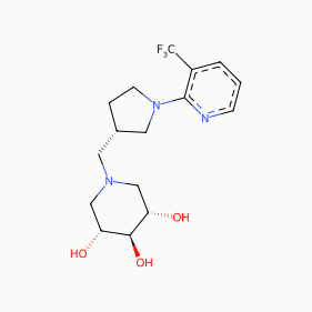 O[C@H]1[C@H](O)CN(C[C@@H]2CCN(c3ncccc3C(F)(F)F)C2)C[C@@H]1O